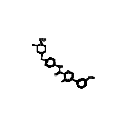 COc1cccc(-c2cnc(C(=O)Nc3ccc(CN4CCN(C(=O)O)C(C)C4)cc3)c(C)c2)c1